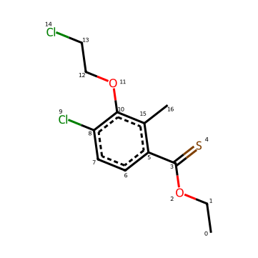 CCOC(=S)c1ccc(Cl)c(OCCCl)c1C